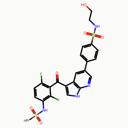 CCCS(=O)(=O)Nc1ccc(F)c(C(=O)c2c[nH]c3ncc(-c4ccc(S(=O)(=O)NCCO)cc4)cc23)c1F